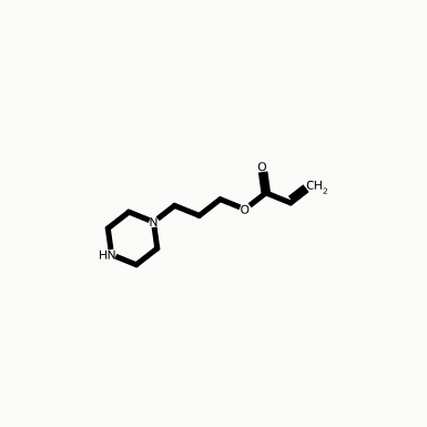 C=CC(=O)OCCCN1CCNCC1